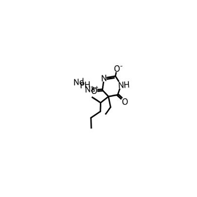 CCCC(C)C1(CC)C(=O)N=C([O-])NC1=O.P.[Na+].[Nd]